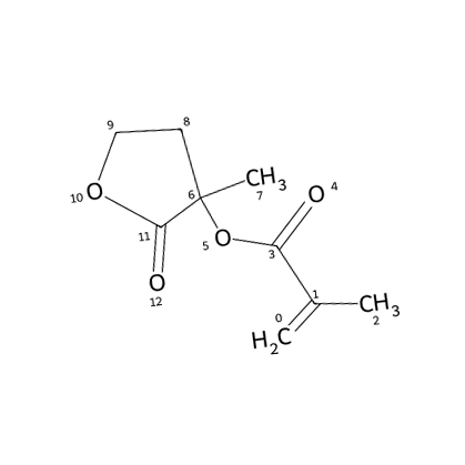 C=C(C)C(=O)OC1(C)CCOC1=O